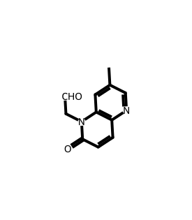 Cc1cnc2ccc(=O)n(CC=O)c2c1